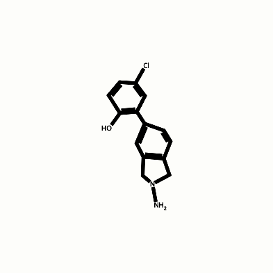 NN1Cc2ccc(-c3cc(Cl)ccc3O)cc2C1